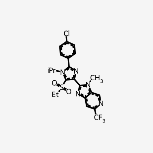 CCS(=O)(=O)c1c(-c2nc3cc(C(F)(F)F)ncc3n2C)nc(-c2ccc(Cl)cc2)n1C(C)C